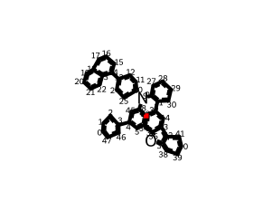 c1ccc(-c2cccc(N(c3ccc(-c4cccc5ccccc45)cc3)c3ccccc3-c3ccc4oc5ccccc5c4c3)c2)cc1